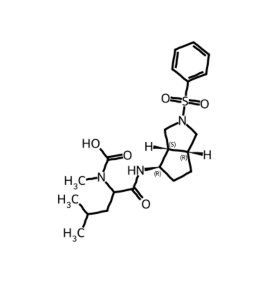 CC(C)CC(C(=O)N[C@@H]1CC[C@H]2CN(S(=O)(=O)c3ccccc3)C[C@H]21)N(C)C(=O)O